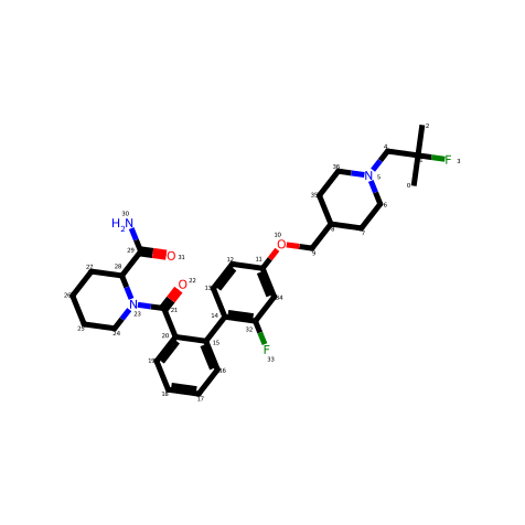 CC(C)(F)CN1CCC(COc2ccc(-c3ccccc3C(=O)N3CCCCC3C(N)=O)c(F)c2)CC1